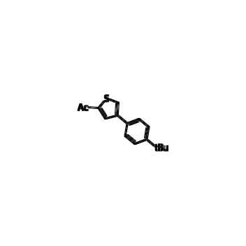 CC(=O)c1cc(-c2ccc(C(C)(C)C)cc2)cs1